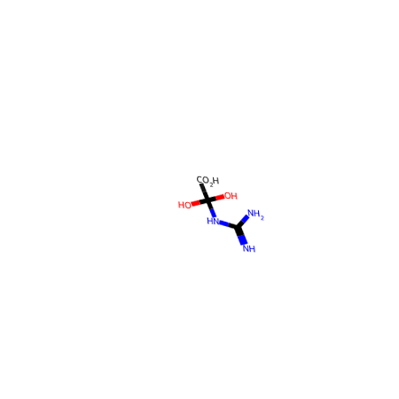 N=C(N)NC(O)(O)C(=O)O